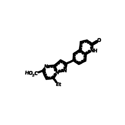 CCc1cc(C(=O)O)nc2cc(-c3ccc4[nH]c(=O)ccc4c3)nn12